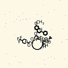 COc1ccc2c(O[C@@H]3C[C@H]4C(=O)N[C@]5(C(=O)NS(=O)(=O)C6CC6)C[C@H]5/C=C\CCCCC[C@H](CC(=O)N5CCC(C(F)(F)F)CC5)C(=O)N4C3)cc(-c3ccccc3)nc2c1